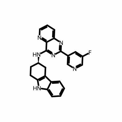 Fc1cncc(-c2nc(N[C@@H]3CCc4[nH]c5ccccc5c4C3)c3ncccc3n2)c1